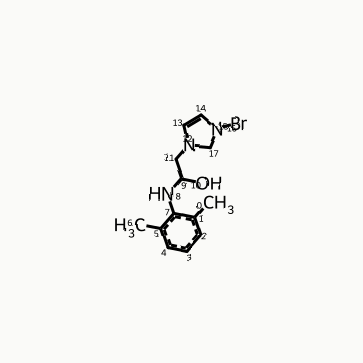 Cc1cccc(C)c1NC(O)CN1C=CN(Br)C1